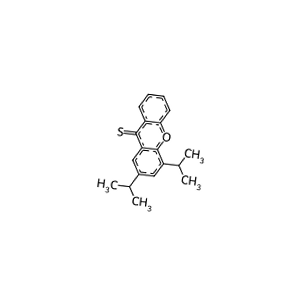 CC(C)c1cc(C(C)C)c2oc3ccccc3c(=S)c2c1